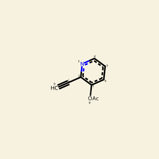 C#Cc1ncccc1OC(C)=O